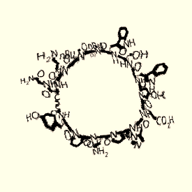 CCCC[C@H]1C(=O)N(C)[C@@H](CCCC)C(=O)N[C@@H](CCCN)C(=O)N[C@H](C(=O)NCC(N)=O)CSCC(=O)N[C@@H](Cc2ccc(O)cc2)C(=O)N2CCCC[C@H]2C(=O)N[C@@H](CC(N)=O)C(=O)N2CCC[C@H]2C(=O)N[C@@H](Cc2cnc[nH]2)C(=O)N[C@@H](CCC(=O)O)C(=O)N2C[C@H](O)C[C@H]2C(=O)N[C@@H](Cc2c[nH]c3ccccc23)C(=O)N[C@@H](CO)C(=O)N[C@@H](Cc2c[nH]c3ccccc23)C(=O)N1C